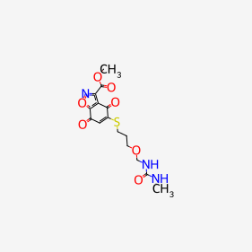 CNC(=O)NCOCCCSC1=CC(=O)c2onc(C(=O)OC)c2C1=O